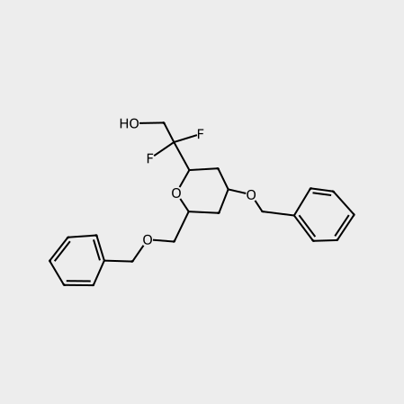 OCC(F)(F)C1CC(OCc2ccccc2)CC(COCc2ccccc2)O1